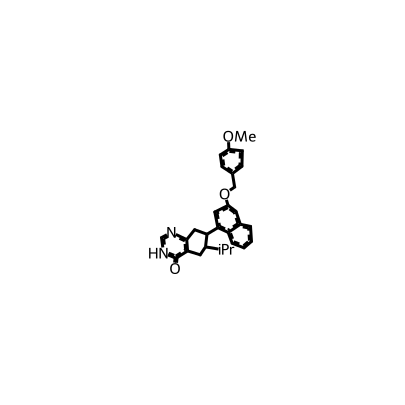 COc1ccc(COc2cc(C3Cc4nc[nH]c(=O)c4CC3C(C)C)c3ccccc3c2)cc1